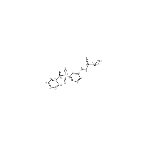 O=C(C=Cc1cccc(S(=O)(=O)Nc2ccccc2)c1)NO